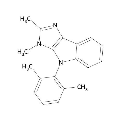 Cc1cccc(C)c1-n1c2ccccc2c2nc(C)n(C)c21